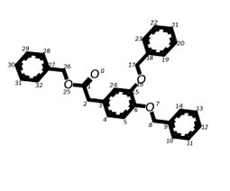 O=C(Cc1ccc(OCc2ccccc2)c(OCc2ccccc2)c1)OCc1ccccc1